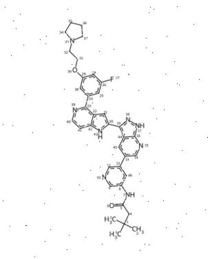 CC(C)(C)CC(=O)Nc1cncc(-c2cnc3[nH]nc(-c4cc5c(-c6cc(F)cc(OCCN7CCCC7)c6)nccc5[nH]4)c3c2)c1